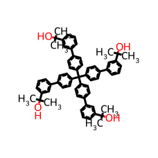 CC(C)(O)c1cccc(-c2ccc(C(c3ccc(-c4cccc(C(C)(C)O)c4)cc3)(c3ccc(-c4cccc(C(C)(C)O)c4)cc3)c3ccc(-c4cccc(C(C)(C)O)c4)cc3)cc2)c1